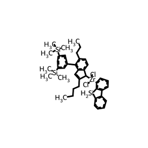 CCCCC1=Cc2c(ccc(CCC)c2-c2cc([Si](C)(C)C)cc([Si](C)(C)C)c2)[CH]1[Zr]([Cl])([Cl])[c]1cccc2c1[SiH2]c1ccccc1-2